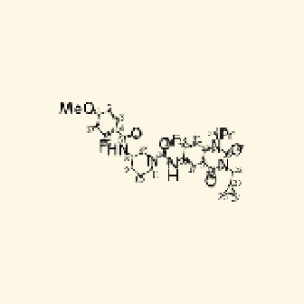 COc1ccc(C(=O)NC2CCCN(C(=O)Nc3cc4c(=O)n(CC5CC5)c(=O)n(C(C)C)c4cc3F)C2)c(F)c1